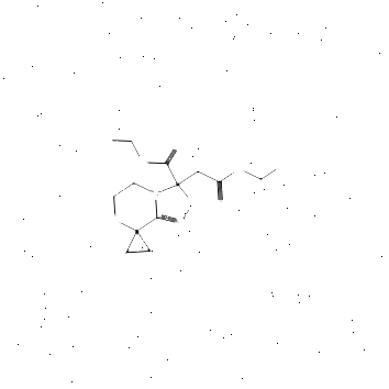 CCOC(=O)CC1(C(=O)OCC)ON=C2N1CCOC21CC1